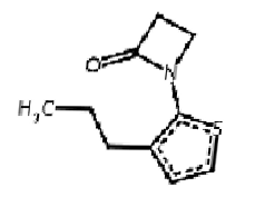 CCCc1ccsc1N1CCC1=O